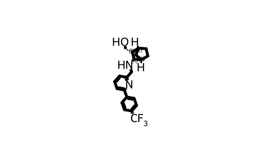 OC[C@@H]1[C@@H]2CC[C@@H](C2)[C@H]1NCc1cccc(-c2ccc(C(F)(F)F)cc2)n1